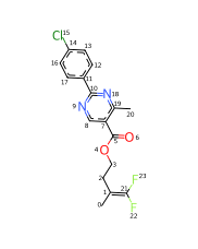 CC(CCOC(=O)c1cnc(-c2ccc(Cl)cc2)nc1C)=C(F)F